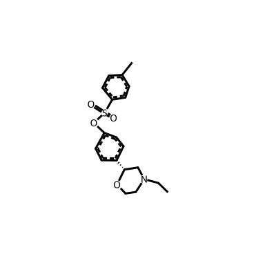 CCN1CCO[C@H](c2ccc(OS(=O)(=O)c3ccc(C)cc3)cc2)C1